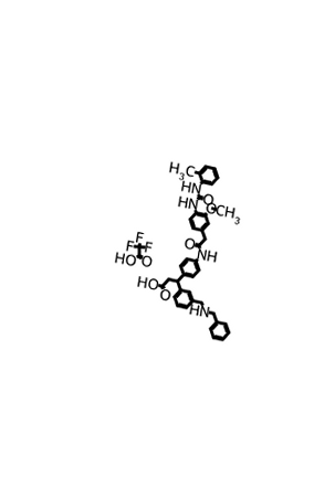 COc1cc(CC(=O)Nc2ccc(C(CC(=O)O)c3cccc(CNCc4ccccc4)c3)cc2)ccc1NC(=O)Nc1ccccc1C.O=C(O)C(F)(F)F